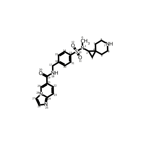 CN(C1CC12CCNCC2)S(=O)(=O)c1ccc(CNC(=O)c2ccc3nccn3c2)cc1